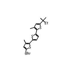 CCC(C)(C)c1cc(C)c(-c2ccc(-c3sc(C(C)(C)C)cc3C)s2)s1